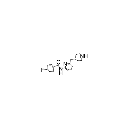 O=C(Nc1cccc(CC2CCNCC2)n1)c1ccc(F)cc1